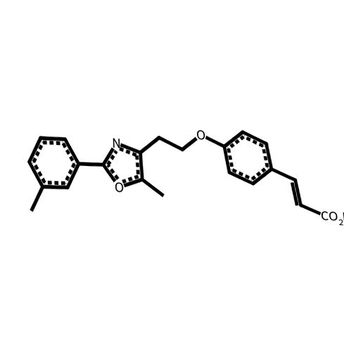 Cc1cccc(-c2nc(CCOc3ccc(C=CC(=O)O)cc3)c(C)o2)c1